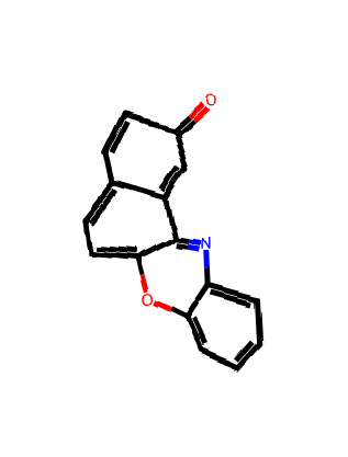 O=c1ccc2ccc3oc4ccccc4nc3c2c1